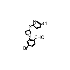 O=Cc1ccc(Br)cc1N1CC[C@H](Sc2ccc(Cl)cn2)C1